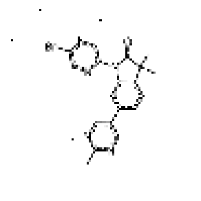 Cc1ncc(-c2ccc3c(c2)N(c2cnc(Br)cn2)C(=O)C3(C)C)cn1